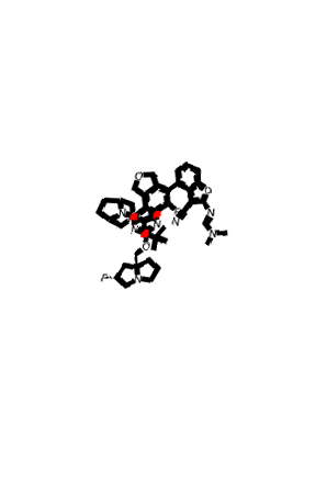 CN(C)C=Nc1oc2cccc(-c3c4c(c5c(N6C7CCC6CN(C(=O)OC(C)(C)C)C7)nc(OC[C@@]67CCCN6C[C@H](F)C7)nc5c3F)COC4)c2c1C#N